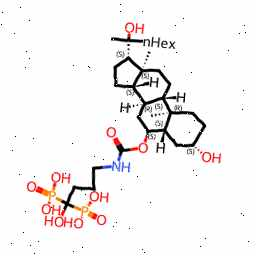 CCCCCCC(C)(O)[C@H]1CC[C@H]2[C@@H]3C[C@H](OC(=O)NCCCC(O)(P(=O)(O)O)P(=O)(O)O)[C@H]4C[C@@H](O)CC[C@]4(C)[C@H]3CC[C@]12C